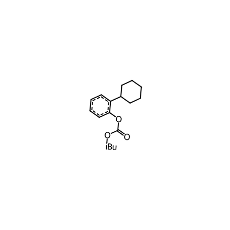 CCC(C)OC(=O)Oc1ccccc1C1CCCCC1